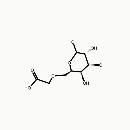 O=C(O)COC[C@H]1OC(O)[C@H](O)[C@@H](O)[C@H]1O